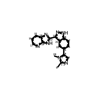 Cc1ncc(-c2ccc3[nH]nc(-c4nc5cccnc5[nH]4)c3c2)n1C